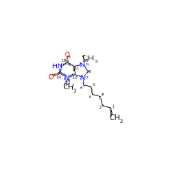 C=CCCCCCN1CN(C)c2c1n(C)c(=O)[nH]c2=O